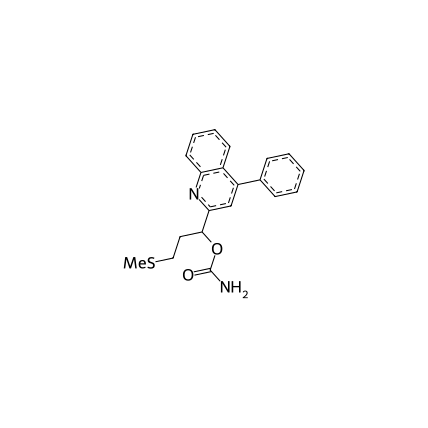 CSCCC(OC(N)=O)c1cc(-c2ccccc2)c2ccccc2n1